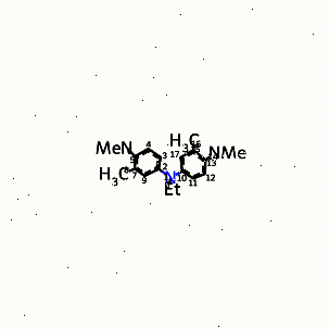 CCN(c1ccc(NC)c(C)c1)c1ccc(NC)c(C)c1